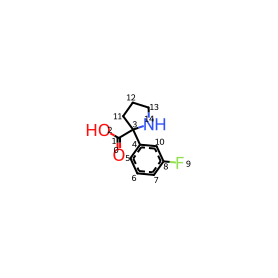 O=C(O)C1(c2cccc(F)c2)CCCN1